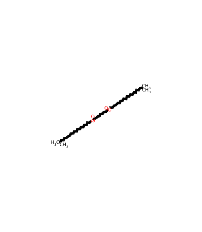 CC(C)CCCCCCCCCCCCCCCCCCCOC(=O)CCCCCCCC(=O)OCCCCCCCCCCCCCCCCCCCC(C)C